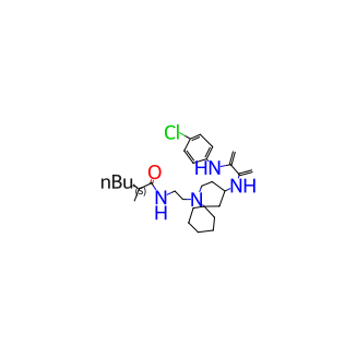 C=C(Nc1ccc(Cl)cc1)C(=C)NC1CCN(CCNC(=O)[C@@H](C)CCCC)C2(CCCCC2)C1